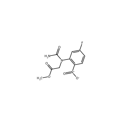 COC(=O)CN(C(N)=O)c1cc(F)ccc1[N+](=O)[O-]